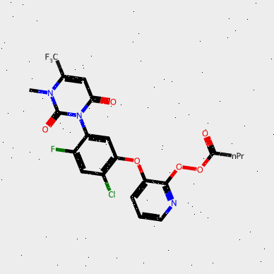 CCCC(=O)OOc1ncccc1Oc1cc(-n2c(=O)cc(C(F)(F)F)n(C)c2=O)c(F)cc1Cl